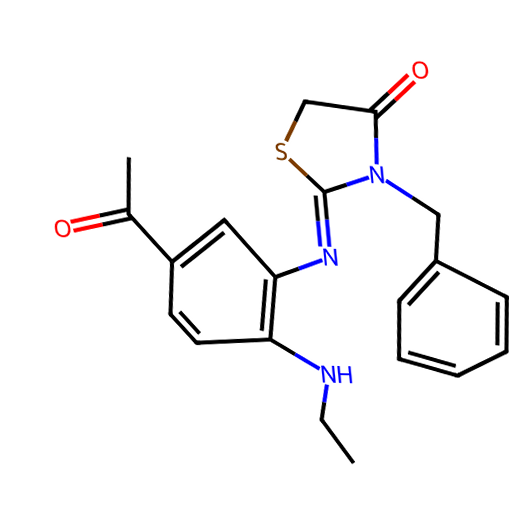 CCNc1ccc(C(C)=O)cc1/N=C1\SCC(=O)N1Cc1ccccc1